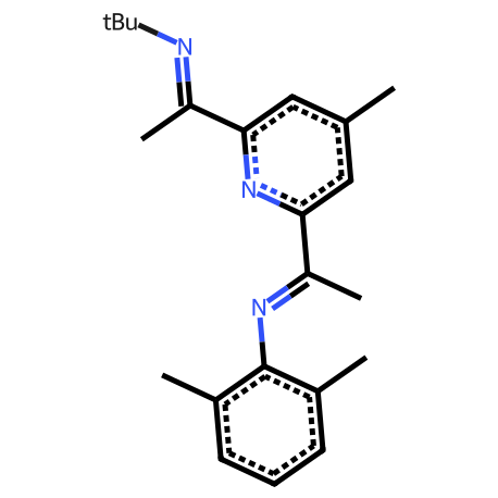 C/C(=N\c1c(C)cccc1C)c1cc(C)cc(/C(C)=N/C(C)(C)C)n1